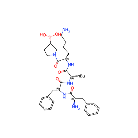 CCCC[C@@H](NC(=O)[C@@H](Cc1ccccc1)NC(=O)[C@H](N)Cc1ccccc1)C(=O)N[C@H](CCCCN)C(=O)N1CCC(B(O)O)C1